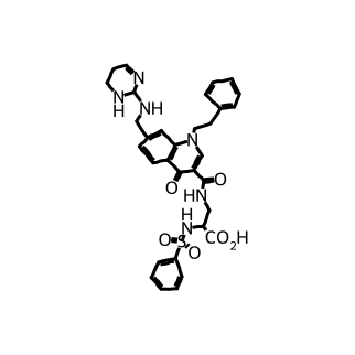 O=C(NCC(NS(=O)(=O)c1ccccc1)C(=O)O)c1cn(CCc2ccccc2)c2cc(CNC3N=CCCN3)ccc2c1=O